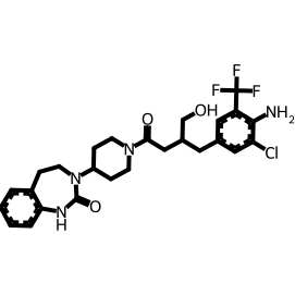 Nc1c(Cl)cc(CC(CO)CC(=O)N2CCC(N3CCc4ccccc4NC3=O)CC2)cc1C(F)(F)F